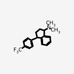 CN(C)C1CCC(c2ccc(C(F)(F)F)cc2)c2ccccc21